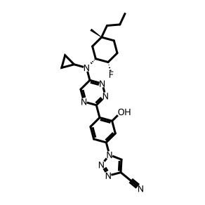 CCC[C@]1(C)CC[C@H](F)[C@H](N(c2cnc(-c3ccc(-n4cc(C#N)nn4)cc3O)nn2)C2CC2)C1